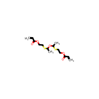 C=CC(=O)OCCSC(C)OC(C)SCCOC(=O)C=C